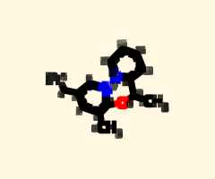 Cc1cc(CC(C)C)cnc1OC(C)c1ccccn1